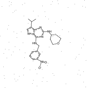 CC(C)c1cnn2c(NCc3cccc([N+](=O)[O-])c3)nc(NC3CCOCC3)nc12